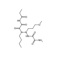 CCCCN(C(=O)C(=O)NC(=O)CC)N(CCCOC)NC(=O)C(N)=O